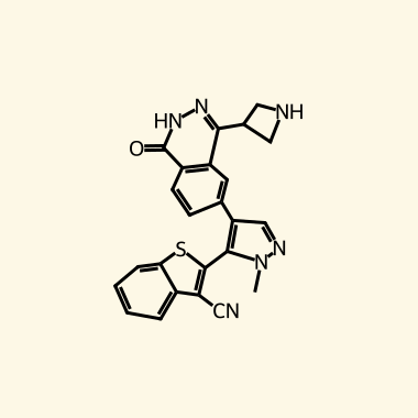 Cn1ncc(-c2ccc3c(=O)[nH]nc(C4CNC4)c3c2)c1-c1sc2ccccc2c1C#N